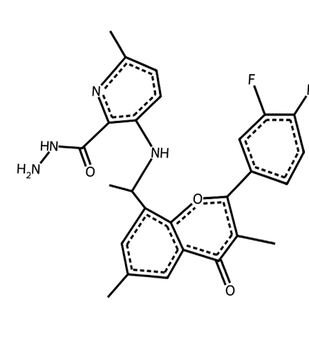 Cc1cc(C(C)Nc2ccc(C)nc2C(=O)NN)c2oc(-c3ccc(F)c(F)c3)c(C)c(=O)c2c1